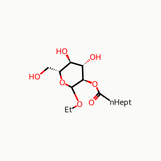 CCCCCCCC(=O)O[C@H]1C(OCC)O[C@H](CO)[C@@H](O)[C@@H]1O